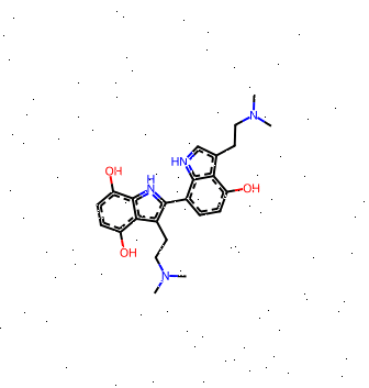 CN(C)CCc1c[nH]c2c(-c3[nH]c4c(O)ccc(O)c4c3CCN(C)C)ccc(O)c12